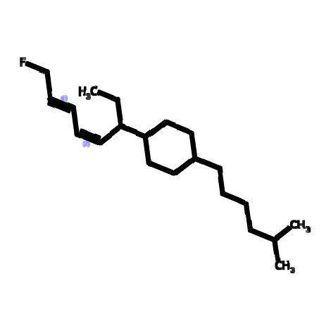 CCC(/C=C\C=C\CF)C1CCC(CCCCC(C)C)CC1